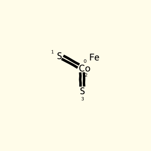 [Fe].[S]=[Co]=[S]